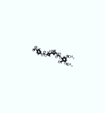 COc1cc(OC)c(C=O)c(OCC(=O)Nc2cc(C3CC(OC(=O)Oc4ccc([N+](=O)[O-])cc4)C3)[nH]n2)c1